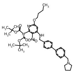 CCCCOc1cc(NCc2ccc(-c3ccc(CN4CCCC4)cc3)cc2)c([N+](=O)[O-])c(N(C(=O)OC(C)(C)C)C(=O)OC(C)(C)C)n1